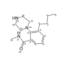 CCCCc1cccc(C(=O)NC)c1N1CCNCC1